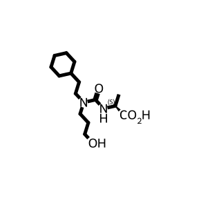 C[C@H](NC(=O)N(CCCO)CCC1CCCCC1)C(=O)O